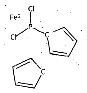 ClP(Cl)[c-]1cccc1.[Fe+2].c1cc[cH-]c1